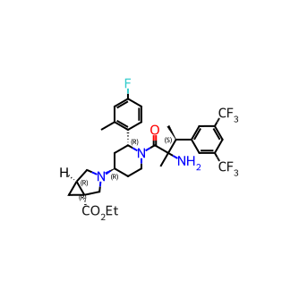 CCOC(=O)[C@]12C[C@H]1CN([C@@H]1CCN(C(=O)C(C)(N)[C@@H](C)c3cc(C(F)(F)F)cc(C(F)(F)F)c3)[C@@H](c3ccc(F)cc3C)C1)C2